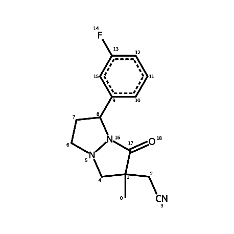 CC1(CC#N)CN2CCC(c3cccc(F)c3)N2C1=O